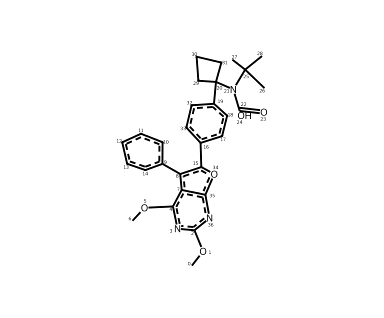 COc1nc(OC)c2c(-c3ccccc3)c(-c3ccc(C4(N(C(=O)O)C(C)(C)C)CCC4)cc3)oc2n1